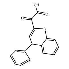 O=C(O)C(=O)C1=CC(c2ccccc2)c2ccccc2O1